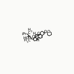 CC(C)C(C)C(O)CC(C)[C@H]1CC[C@H]2C3=CC=C4C[C@@H](OC5CCCCO5)CC[C@]4(C)[C@H]3CC[C@]12C